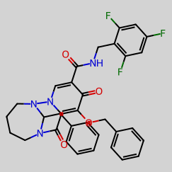 O=C(NCc1c(F)cc(F)cc1F)c1cn2c(c(OCc3ccccc3)c1=O)C(=O)N1CCCCN2C1Cc1ccccc1